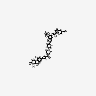 N#Cc1cnn2c(C(=O)Nc3cc4cn(C5CCC(N6CCN(C(=O)C7CN(c8cc(F)c([C@H]9CCC(=O)NC9=O)c(F)c8)C7)CC6)CC5)nc4c4c3OC(F)(F)O4)ccc2c1